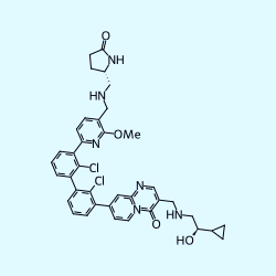 COc1nc(-c2cccc(-c3cccc(-c4ccn5c(=O)c(CNC[C@H](O)C6CC6)cnc5c4)c3Cl)c2Cl)ccc1CNC[C@@H]1CCC(=O)N1